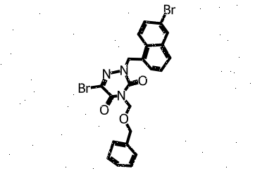 O=c1c(Br)nn(Cc2cccc3cc(Br)ccc23)c(=O)n1COCc1ccccc1